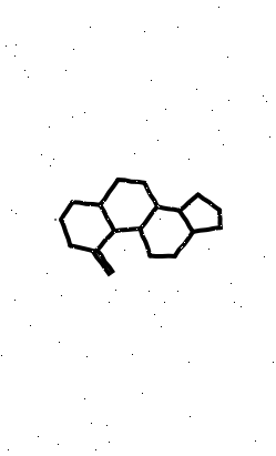 C=C1C[CH]CC2CCC3C4CCCC4CCC3C12